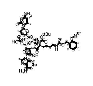 CC(C)(C)OC(=O)N[C@@H](CCCCNC(=O)OCc1ccccc1N=[N+]=[N-])C(=O)O[C@H]1[C@@H](O)[C@H](n2cnc3c(N)ncnc32)O[C@@H]1COP(=O)(O)O[C@H]1C[C@H](n2ccc(N)nc2=O)O[C@@H]1COP(=O)(O)O